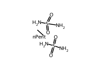 CCCCCC.NS(N)(=O)=O.NS(N)(=O)=O